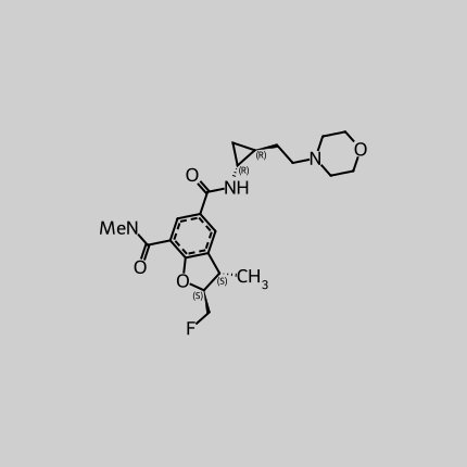 CNC(=O)c1cc(C(=O)N[C@@H]2C[C@H]2CCN2CCOCC2)cc2c1O[C@H](CF)[C@H]2C